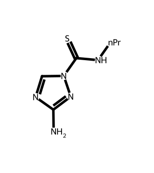 CCCNC(=S)n1cnc(N)n1